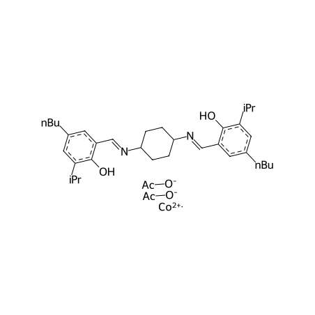 CC(=O)[O-].CC(=O)[O-].CCCCc1cc(C=NC2CCC(N=Cc3cc(CCCC)cc(C(C)C)c3O)CC2)c(O)c(C(C)C)c1.[Co+2]